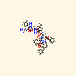 CCCCC(NC(=O)[C@@H]1C[C@@H](OCc2ccccc2)CN1C(=O)C(NC(=O)C1CCCCC1C(=O)c1ccccc1)C1CCCCC1)C(=O)C(=O)NCC(=O)NC(C(N)=O)c1ccccc1